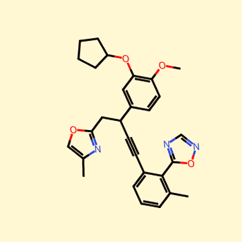 COc1ccc(C(C#Cc2cccc(C)c2-c2ncno2)Cc2nc(C)co2)cc1OC1CCCC1